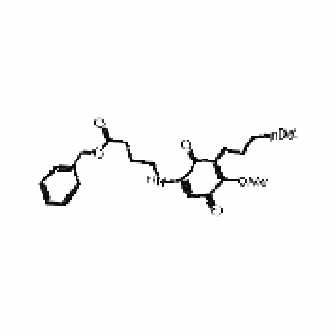 CCCCCCCCCCCCCC1=C(OC)C(=O)C=C(NCCCC(=O)OCc2ccccc2)C1=O